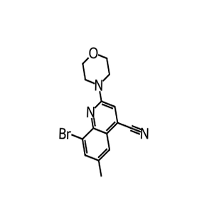 Cc1cc(Br)c2nc(N3CCOCC3)cc(C#N)c2c1